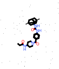 CCC(=O)NC1CCN(C(=O)c2ccc(NC(=O)NC34CC5C[C@@](C)(C3)C[C@](C)(C5)C4)cc2)CC1